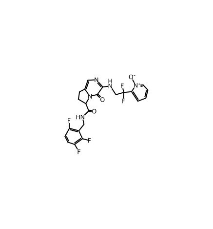 O=C(NCc1c(F)ccc(F)c1F)C1CCc2cnc(NCC(F)(F)c3cccc[n+]3[O-])c(=O)n21